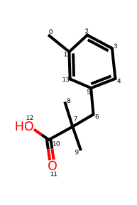 Cc1cccc(CC(C)(C)C(=O)O)c1